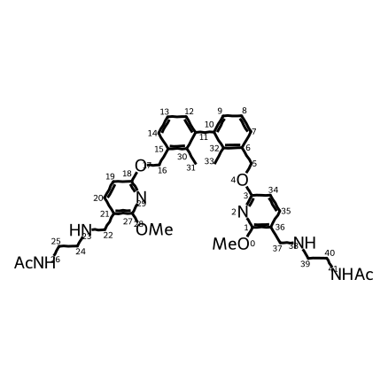 COc1nc(OCc2cccc(-c3cccc(COc4ccc(CNCCNC(C)=O)c(OC)n4)c3C)c2C)ccc1CNCCNC(C)=O